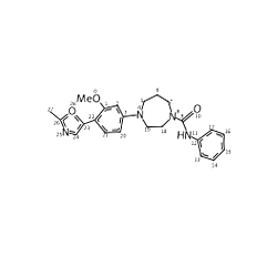 COc1cc(N2CCCN(C(=O)Nc3ccccc3)CC2)ccc1-c1cnc(C)o1